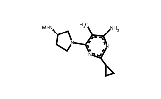 CN[C@@H]1CCN(c2nc(C3CC3)nc(N)c2C)C1